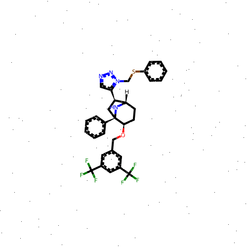 FC(F)(F)c1cc(CO[C@@H]2CC[C@@H]3N[C@@]2(c2ccccc2)C[C@H]3c2cnnn2CSc2ccccc2)cc(C(F)(F)F)c1